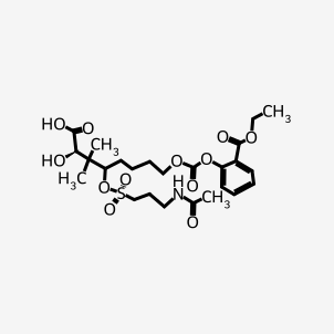 CCOC(=O)c1ccccc1OC(=O)OCCCCC(OS(=O)(=O)CCCNC(C)=O)C(C)(C)[C@@H](O)C(=O)O